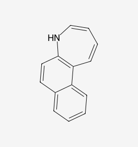 C1=CNc2ccc3ccccc3c2C=C1